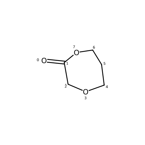 O=C1[CH]OCCCO1